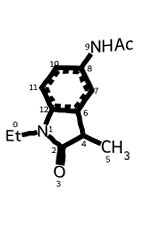 CCN1C(=O)C(C)c2cc(NC(C)=O)ccc21